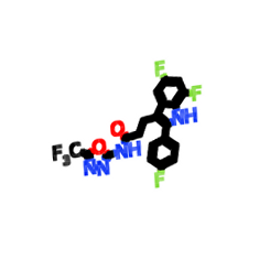 O=C(CCc1c(-c2ccc(F)cc2)[nH]c2c(F)cc(F)cc12)Nc1nnc(C(F)(F)F)o1